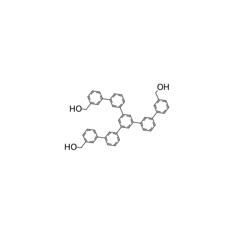 OCc1cccc(-c2cccc(-c3cc(-c4cccc(-c5cccc(CO)c5)c4)cc(-c4cccc(-c5cccc(CO)c5)c4)c3)c2)c1